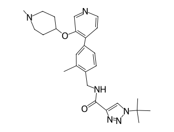 Cc1cc(-c2ccncc2OC2CCN(C)CC2)ccc1CNC(=O)c1cn(C(C)(C)C)nn1